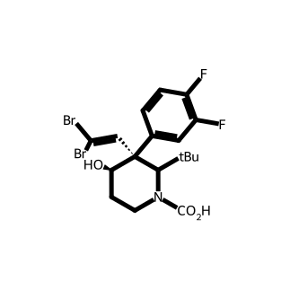 CC(C)(C)C1N(C(=O)O)CC[C@@H](O)[C@@]1(C=C(Br)Br)c1ccc(F)c(F)c1